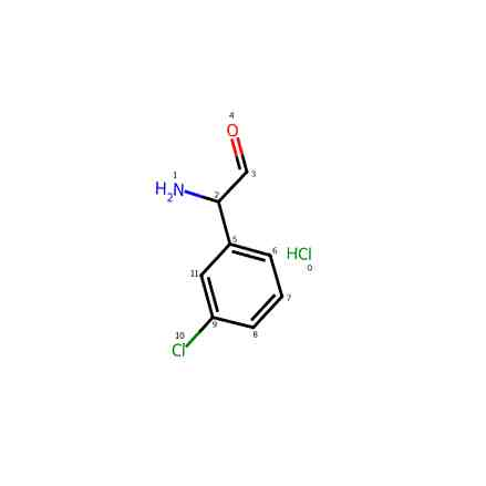 Cl.NC(C=O)c1cccc(Cl)c1